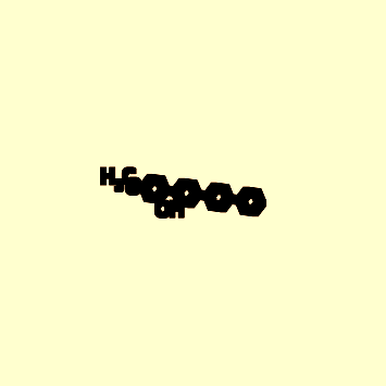 COc1ccc(-c2ccc(-c3ccc(-c4ccccc4)cc3)cc2)c(O)c1